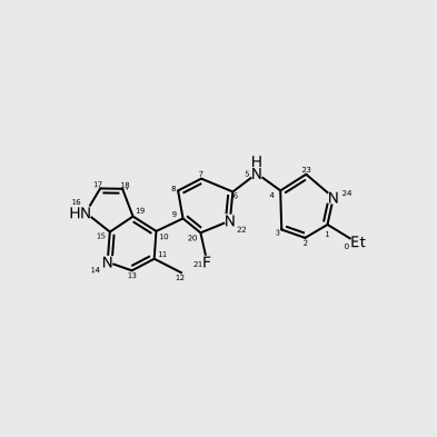 CCc1ccc(Nc2ccc(-c3c(C)cnc4[nH]c[c]c34)c(F)n2)cn1